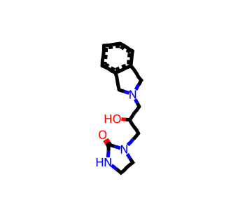 O=C1NCCN1CC(O)CN1Cc2ccccc2C1